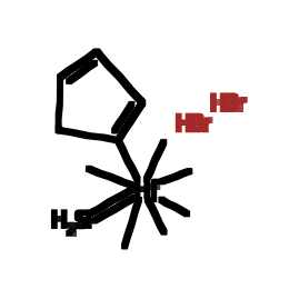 Br.Br.[CH3][Hf]([CH3])([CH3])([CH3])([CH3])([CH3])(=[SiH2])[C]1=CC=CC1